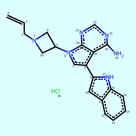 C=CCN1CC(n2cc(-c3cc4ccccc4[nH]3)c3c(N)ncnc32)C1.Cl